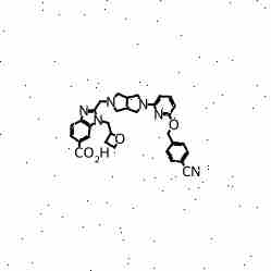 N#Cc1ccc(COc2cccc(N3CC4CN(Cc5nc6ccc(C(=O)O)cc6n5CC5CCO5)CC4C3)n2)cc1